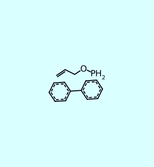 C=CCOP.c1ccc(-c2ccccc2)cc1